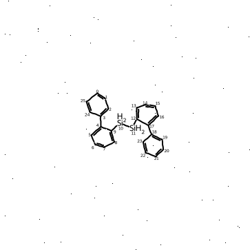 c1ccc(-c2ccccc2[SiH2][SiH2]c2ccccc2-c2ccccc2)cc1